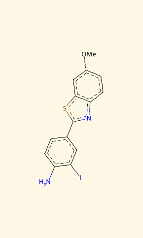 COc1ccc2nc(-c3ccc(N)c(I)c3)sc2c1